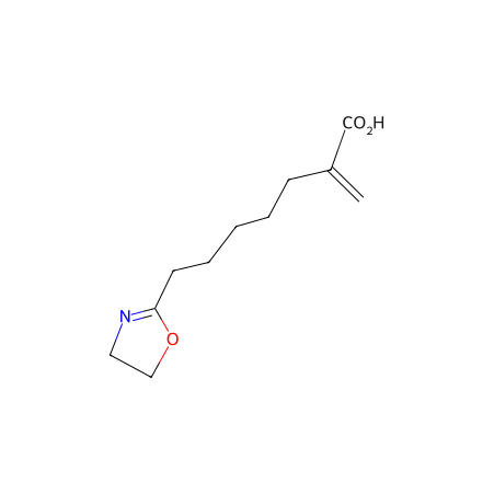 C=C(CCCCCC1=NCCO1)C(=O)O